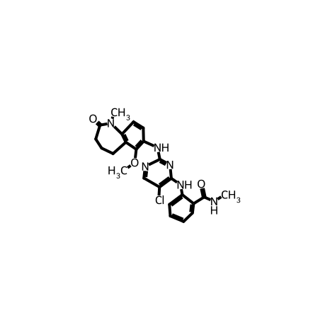 CNC(=O)c1ccccc1Nc1nc(Nc2ccc3c(c2OC)CCCC(=O)N3C)ncc1Cl